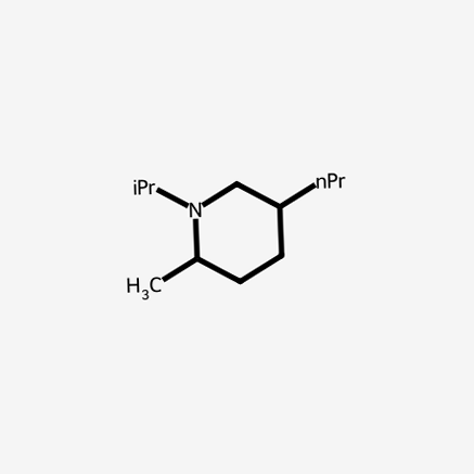 CCCC1CCC(C)N(C(C)C)C1